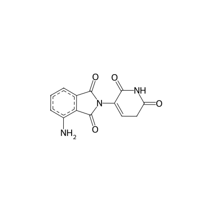 Nc1cccc2c1C(=O)N(C1=CCC(=O)NC1=O)C2=O